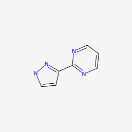 C1=CC(c2ncccn2)=N[N]1